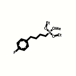 CCO[Si](CCCCc1ccc(F)cc1)(OC)OCC